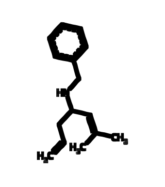 C=CCC(C=C(C)C)NCc1ccccc1